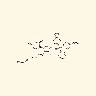 C#CCOCCCCOC1C(C)C(COC(c2ccccc2)(c2ccc(OC)cc2)c2ccc(OC)cc2)OC1n1ccc(=O)[nH]c1=O